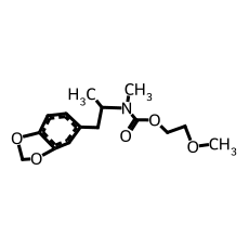 COCCOC(=O)N(C)C(C)Cc1ccc2c(c1)OCO2